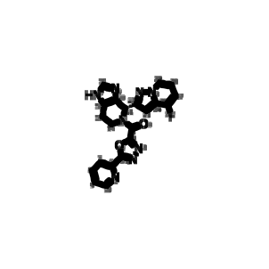 O=C(c1nnc(-c2ccccn2)o1)N1CCc2[nH]cnc2[C@@H]1c1cc2c(F)cccn2n1